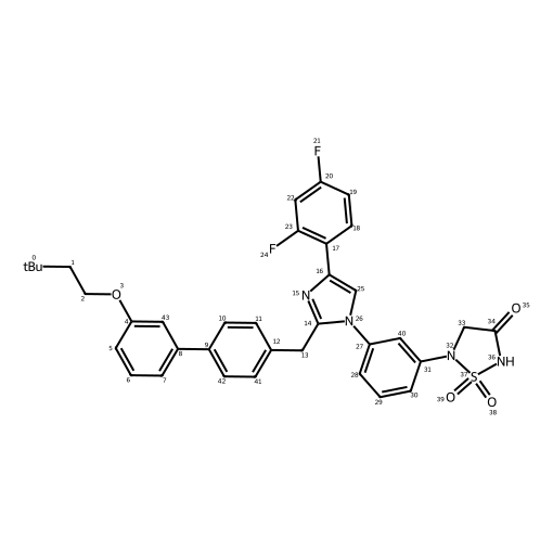 CC(C)(C)CCOc1cccc(-c2ccc(Cc3nc(-c4ccc(F)cc4F)cn3-c3cccc(N4CC(=O)NS4(=O)=O)c3)cc2)c1